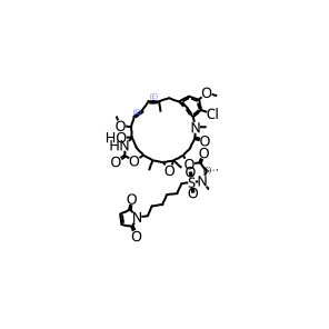 COc1cc2cc(c1Cl)N(C)C(=O)CC(OC(=O)[C@H](C)N(C)S(=O)(=O)CCCCCCN1C(=O)C=CC1=O)C1(C)OC1C(C)C1CC(O)(NC(=O)O1)C(OC)/C=C/C=C(\C)C2